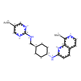 COc1nccc2ccc(N[C@H]3CC[C@H](CNc4ncc(NC(C)=O)cn4)CC3)nc12